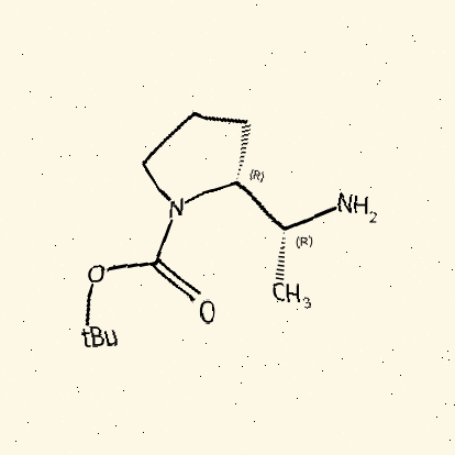 C[C@@H](N)[C@H]1CCCN1C(=O)OC(C)(C)C